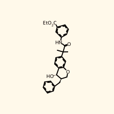 CCOC(=O)c1cccc(NC(=O)C(C)(C)c2ccc3c(c2)OC[C@@H](Cc2ccccc2)[C@@H]3O)c1